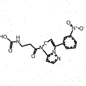 O=C(O)NCCC(=O)N1CC=C(c2cccc([N+](=O)[O-])c2)n2nccc21